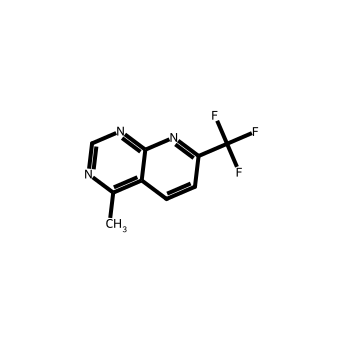 Cc1ncnc2nc(C(F)(F)F)ccc12